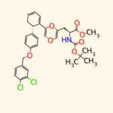 COC(=O)[C@H](CC1=COC=C(C2=CC=CC[C@H]2c2ccc(OCc3ccc(Cl)c(Cl)c3)cc2)O1)NC(=O)OC(C)(C)C